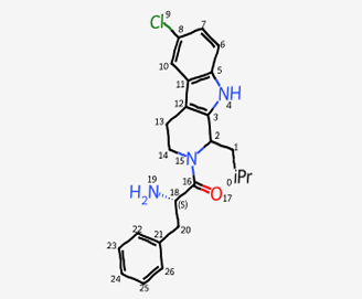 CC(C)CC1c2[nH]c3ccc(Cl)cc3c2CCN1C(=O)[C@@H](N)Cc1ccccc1